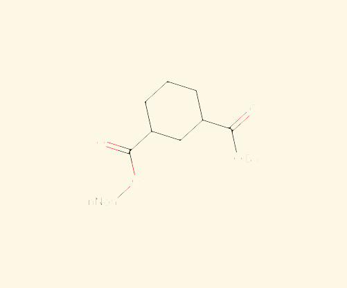 CCCCCCCCCOC(=O)C1CCCC(C(=O)OCC(C)C)C1